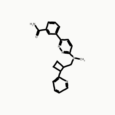 CN(CC1CCC1c1ccccn1)c1ccc(-c2cccc(C(N)=O)c2)nn1